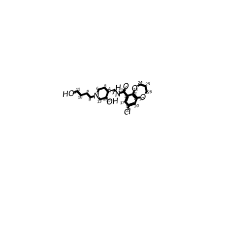 O=C(NC[C@@H]1CCN(CCCCO)C[C@H]1O)c1cc(Cl)cc2c1OCCCO2